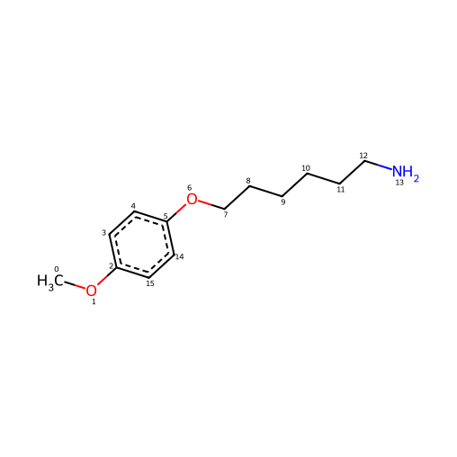 COc1ccc(OCCCCCCN)cc1